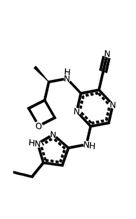 CCc1cc(Nc2cnc(C#N)c(N[C@H](C)C3COC3)n2)n[nH]1